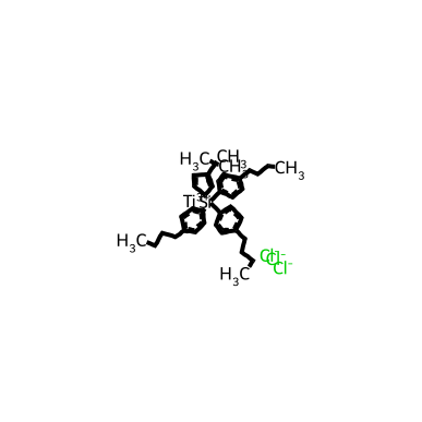 CCCCc1ccc([Si](c2ccc(CCCC)cc2)(c2ccc(CCCC)cc2)[C]2([Ti+3])C=CC(C(C)(C)C)=C2)cc1.[Cl-].[Cl-].[Cl-]